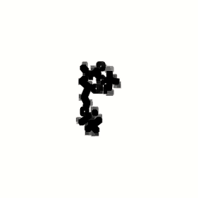 CN(CC(O)CCO[Si](C)(C)C(C)(C)C)C(=O)OC(C)(C)C